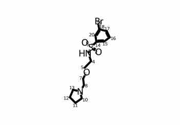 O=S(=O)(NCCOCCN1CCCC1)c1cccc(Br)c1